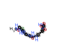 CNC(=O)c1ccccc1Nc1nc(Nc2ccc(N3CCN(C(=O)NCCN[C@H]4CC[C@H](C#Cc5ccc6c(c5)CN(C5CCC(=O)NC5=O)C6=O)CC4)CC3)cc2)ncc1Cl